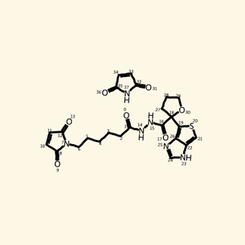 O=C(CCCCCN1C(=O)C=CC1=O)NNC(=O)C1(c2scc3[nH]cnc23)CCCO1.O=C1C=CC(=O)N1